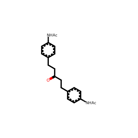 CC(=O)Nc1ccc(CCC(=O)CCc2ccc(NC(C)=O)cc2)cc1